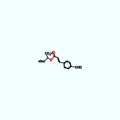 CCCCCCCCCCC(OC(=O)C=Cc1ccc(C=O)cc1)C(=O)O